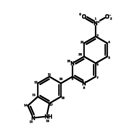 O=[N+]([O-])c1ccc2cnc(-c3ccc4cn[nH]c4c3)nc2c1